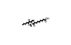 CCCCC(OC(C)OC(=O)CCCCCCCC(=O)O)C(=O)CCC